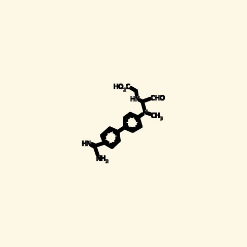 CN(c1ccc(-c2ccc(C(=N)N)cc2)cc1)C(C=O)NCC(=O)O